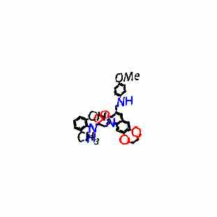 COc1ccc(NCc2cc3cc4c(cc3n(CC(=O)Nc3c(C)cccc3C)c2=O)OCCO4)cc1